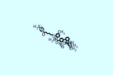 COc1c(-c2cccc3[nH]c(CN(C)C)nc23)ccc(C(=O)N(C)c2ccc(C)cc2OCCCCCC(=O)N2CCN(C)CC2)c1N=C=O